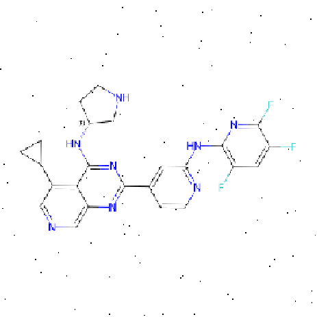 Fc1cc(F)c(Nc2cc(-c3nc(N[C@@H]4CCNC4)c4c(C5CC5)cncc4n3)ccn2)nc1F